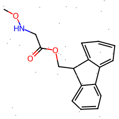 CONCC(=O)OCC1c2ccccc2-c2ccccc21